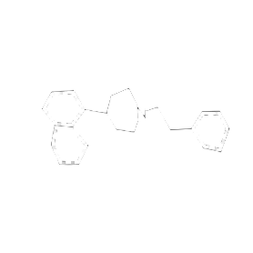 c1ccc(CCN2CCC(c3cccc4ccccc34)CC2)cc1